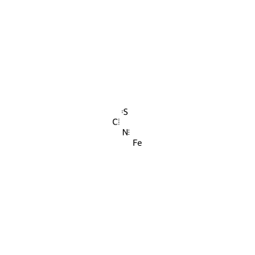 [C].[Fe].[N].[S]